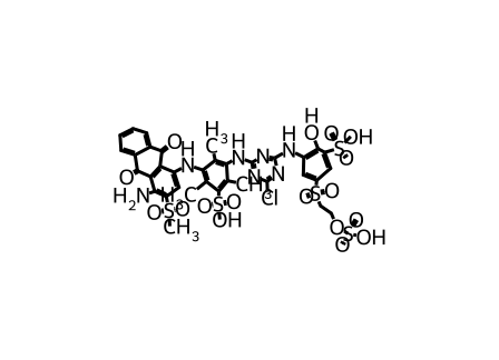 Cc1c(Nc2nc(Cl)nc(Nc3cc(S(=O)(=O)CCOS(=O)(=O)O)cc(S(=O)(=O)O)c3O)n2)c(C)c(S(=O)(=O)O)c(C)c1Nc1cc(S(C)(=O)=O)c(N)c2c1C(=O)c1ccccc1C2=O